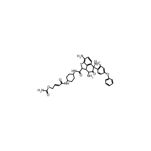 Cc1cc(Oc2ccccc2)ccc1C1(N)C(=O)C(N)C2c3c1ccc(N)c3SC2C(=O)NC1CCC(NC(=O)/C=C/COC(N)=O)CC1